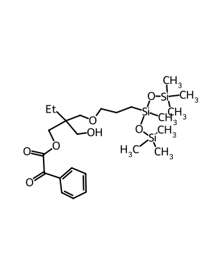 CCC(CO)(COCCC[Si](C)(O[Si](C)(C)C)O[Si](C)(C)C)COC(=O)C(=O)c1ccccc1